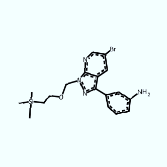 C[Si](C)(C)CCOCn1nc(-c2cccc(N)c2)c2cc(Br)cnc21